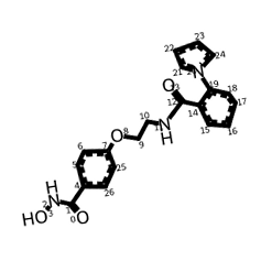 O=C(NO)c1ccc(OCCNC(=O)c2ccccc2-n2cccc2)cc1